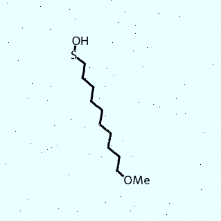 COCCCCCCCCCCSO